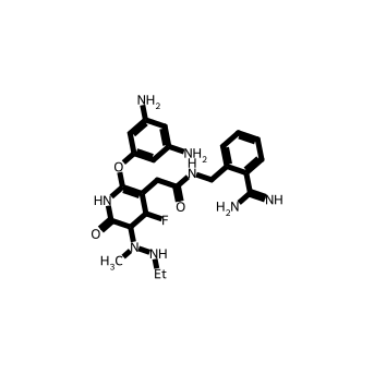 CCNN(C)C1C(=O)NC(Oc2cc(N)cc(N)c2)=C(CC(=O)NCc2ccccc2C(=N)N)C1F